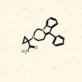 NC(=O)C1(N2CCc3c(-c4ccccc4)c4ccccc4n3CC2)CC1